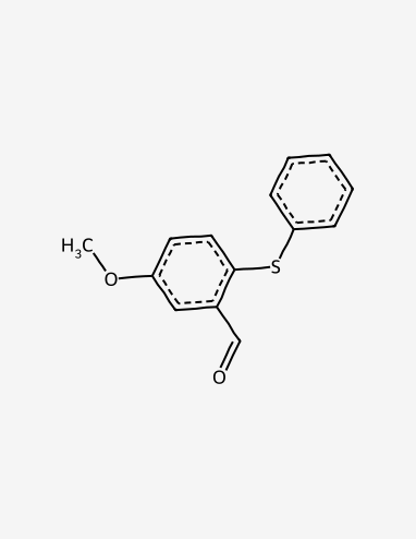 COc1ccc(Sc2ccccc2)c(C=O)c1